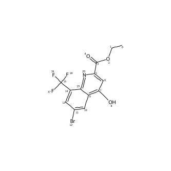 CCOC(=O)c1cc(O)c2cc(Br)cc(C(F)(F)F)c2n1